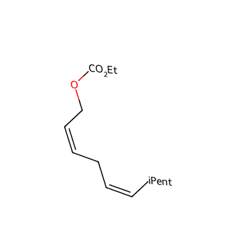 CCCC(C)/C=C\C/C=C\COC(=O)OCC